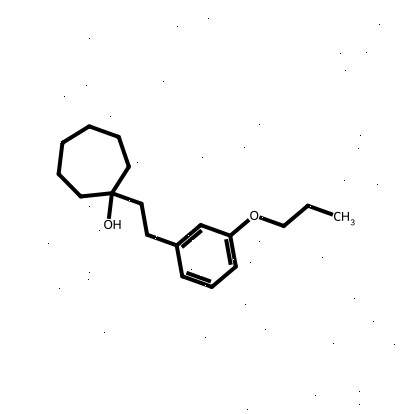 CCCOc1cccc(CCC2(O)CCCCCC2)c1